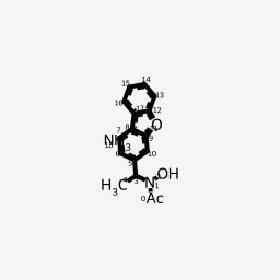 CC(=O)N(O)C(C)c1ccc2c(c1)oc1ccccc12.N